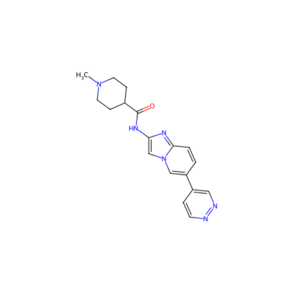 CN1CCC(C(=O)Nc2cn3cc(-c4ccnnc4)ccc3n2)CC1